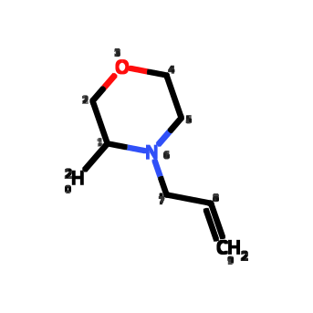 [2H]C1COCCN1[CH]C=C